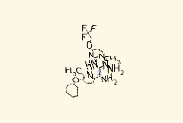 Cc1nc(/C(N)=C(\Nc2nccc(OCC(F)(F)F)n2)N(C)N)ccc1OC1CCCCC1